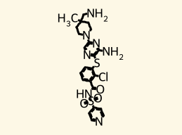 CC1(CN)CCN(c2cnc(Sc3cccc(C(=O)NS(=O)(=O)c4ccncc4)c3Cl)c(N)n2)CC1